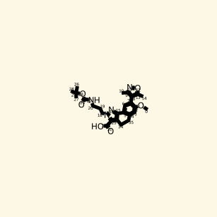 COc1cc2c(cc1-c1c(C)noc1C)-c1nn(CCCNC(=O)OC(C)(C)C)c(C(=O)O)c1CC2